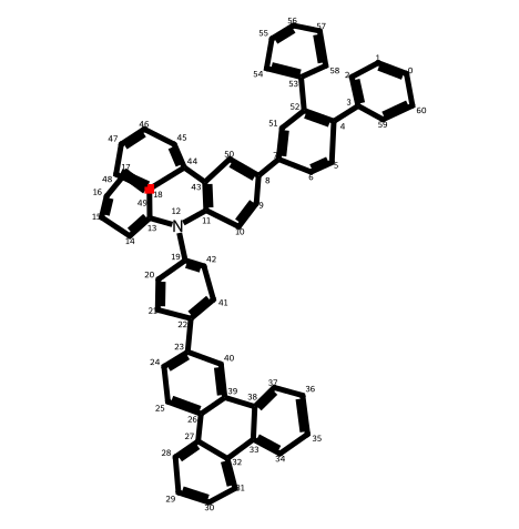 c1ccc(-c2ccc(-c3ccc(N(c4ccccc4)c4ccc(-c5ccc6c7ccccc7c7ccccc7c6c5)cc4)c(-c4ccccc4)c3)cc2-c2ccccc2)cc1